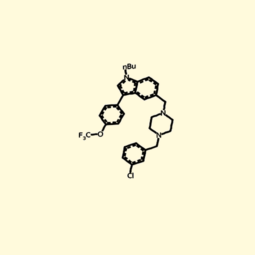 CCCCn1cc(-c2ccc(OC(F)(F)F)cc2)c2cc(CN3CCN(Cc4cccc(Cl)c4)CC3)ccc21